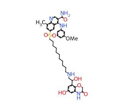 COc1cccc(Nc2c(C(N)=O)cnc3c(C)cc(S(=O)(=O)CCCCCCCCCCCNCC(O)c4cc(O)cc5c4OCC(=O)N5)cc23)c1